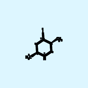 C[C@@H]1CN[C@@H](C)CN1I